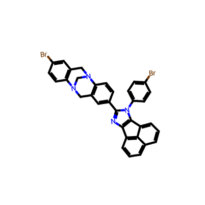 Brc1ccc(-n2c(-c3ccc4c(c3)CN3CN4Cc4cc(Br)ccc43)nc3c2-c2cccc4cccc-3c24)cc1